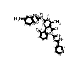 CC1=C(C(=O)Nc2nnc(-c3cccnc3)s2)C(c2ccccc2Cl)N=C(Nc2nc3cc(N)ccc3o2)N1